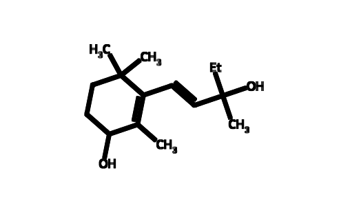 CCC(C)(O)/C=C/C1=C(C)C(O)CCC1(C)C